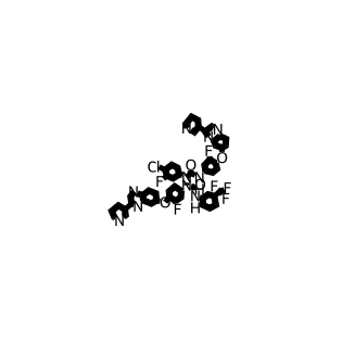 O=C(Nc1ccc(Oc2ccc3ncc(-c4cccnc4)nc3c2)c(F)c1)N(c1ccc(Cl)c(F)c1)N(C(=O)Nc1cccc(C(F)(F)F)c1)c1ccc(Oc2ccc3ncc(-c4cccnc4)nc3c2)c(F)c1